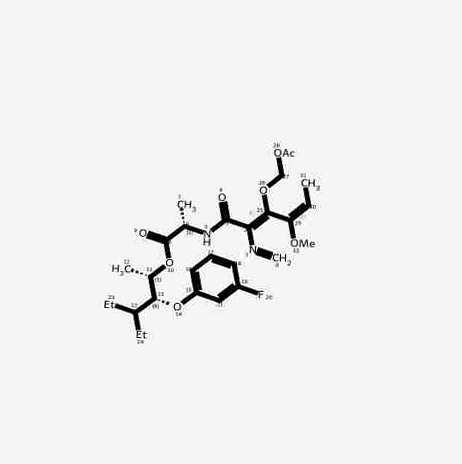 C=N/C(C(=O)N[C@@H](C)C(=O)O[C@@H](C)[C@H](Oc1cccc(F)c1)C(CC)CC)=C(OCOC(C)=O)\C(=C/C)OC